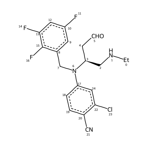 CCNC[C@H](CC=O)N(Cc1cc(F)cc(F)c1F)c1ccc(C#N)c(Cl)c1